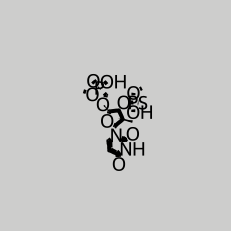 COP(=O)(O)CO[C@H]1O[C@@H](n2ccc(=O)[nH]c2=O)[C@H](C)[C@@H]1OP(O)(=S)OC